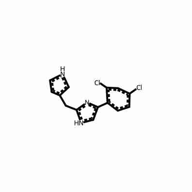 Clc1ccc(-c2c[nH]c(Cc3cc[nH]c3)n2)c(Cl)c1